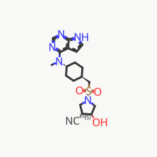 CN(c1ncnc2[nH]ccc12)[C@H]1CC[C@H](CS(=O)(=O)N2C[C@@H](O)[C@H](C#N)C2)CC1